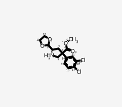 COC(=O)C(CN)(CCC1OCCO1)c1ccc(Cl)c(Cl)c1